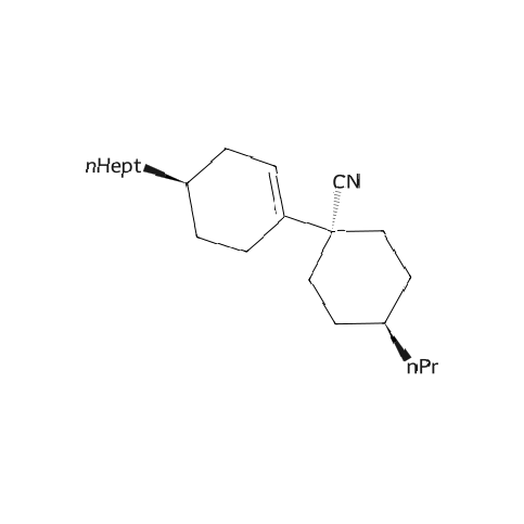 CCCCCCC[C@H]1CC=C([C@]2(C#N)CC[C@H](CCC)CC2)CC1